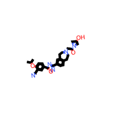 CC(C)Oc1ccc(-c2nc(-c3ccc4c(c3)CCN(CC(=O)N3CC(O)C3)CC4)no2)cc1C#N